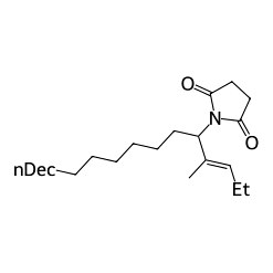 CCC=C(C)C(CCCCCCCCCCCCCCCC)N1C(=O)CCC1=O